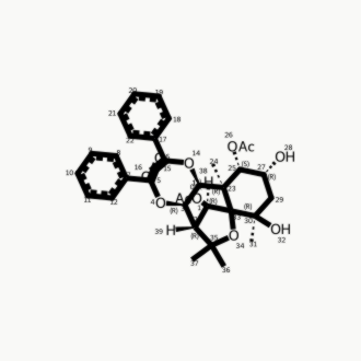 CC(=O)O[C@@H]1[C@H]2[C@@H](OC(=O)c3ccccc3)[C@@H](OC(=O)c3ccccc3)[C@@]3(C)[C@H](OC(C)=O)[C@H](O)C[C@@](C)(O)C13OC2(C)C